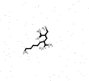 CCCCCCC(CC(CN)C(=O)O)C(C)C